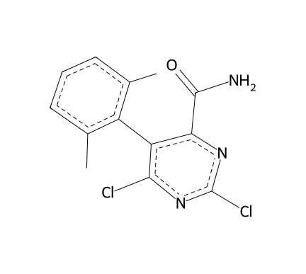 Cc1cccc(C)c1-c1c(Cl)nc(Cl)nc1C(N)=O